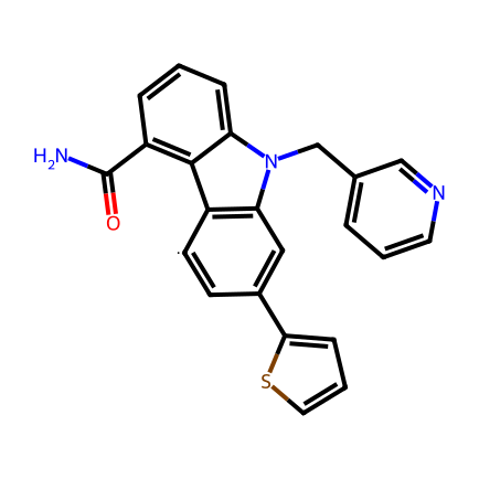 NC(=O)c1cccc2c1c1[c]cc(-c3cccs3)cc1n2Cc1cccnc1